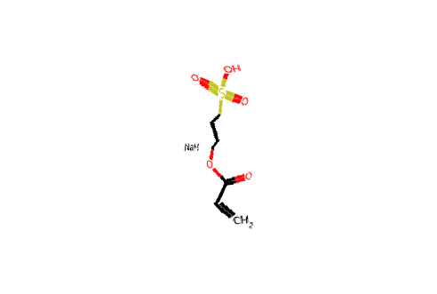 C=CC(=O)OCCS(=O)(=O)O.[NaH]